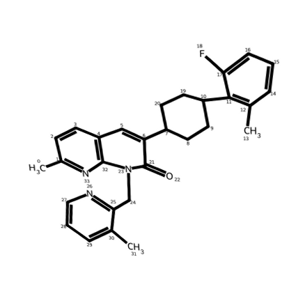 Cc1ccc2cc(C3CCC(c4c(C)cccc4F)CC3)c(=O)n(Cc3ncccc3C)c2n1